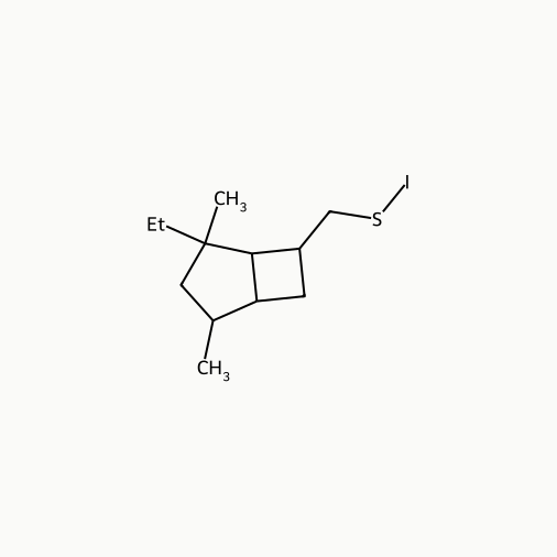 CCC1(C)CC(C)C2CC(CSI)C21